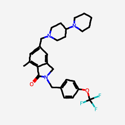 Cc1cc(CN2CCC(N3CCCCC3)CC2)cc2c1C(=O)N(Cc1ccc(OC(F)(F)F)cc1)C2